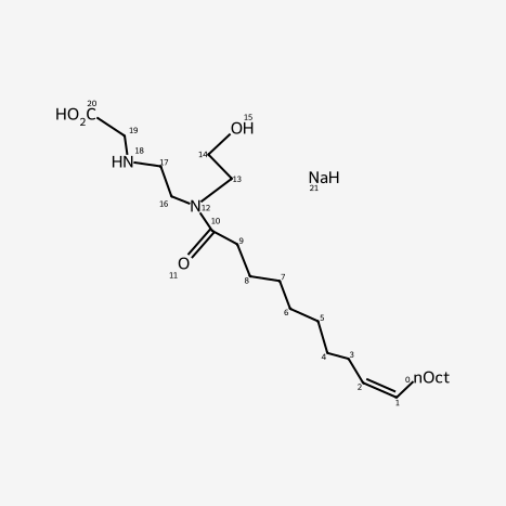 CCCCCCCC/C=C\CCCCCCCC(=O)N(CCO)CCNCC(=O)O.[NaH]